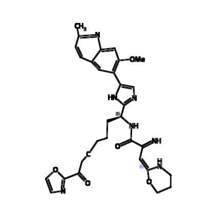 COc1cc2nc(C)ccc2cc1-c1cnc([C@H](CCCCCC(=O)c2ncco2)NC(=O)C(=N)/C=C2\NCCCO2)[nH]1